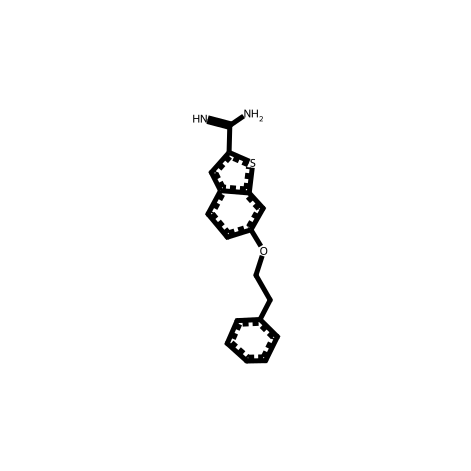 N=C(N)c1cc2ccc(OCCc3ccccc3)cc2s1